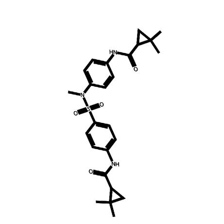 CN(c1ccc(NC(=O)C2CC2(C)C)cc1)S(=O)(=O)c1ccc(NC(=O)C2CC2(C)C)cc1